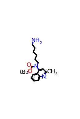 Cc1cc(N(CCCCCCN)C(=O)OC(C)(C)C)c2ccccc2n1